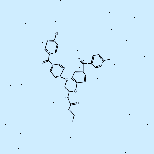 CCOC(=O)NC(COc1ccc(C(=O)c2ccc(Cl)cc2)cc1)Oc1ccc(C(=O)c2ccc(Cl)cc2)cc1